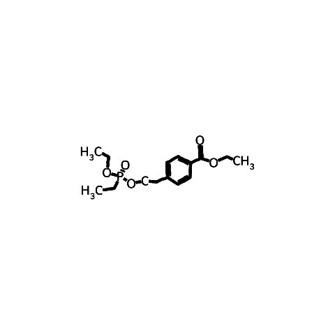 CCOC(=O)c1ccc(CCOP(=O)(CC)OCC)cc1